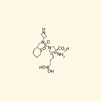 N[C@@]1(C(=O)O)CN(S(=O)(=O)N(CC2CCCCS2)C2CNC2)C[C@@H]1CCCB(O)O